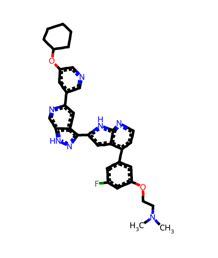 CN(C)CCOc1cc(F)cc(-c2ccnc3[nH]c(-c4n[nH]c5cnc(-c6cncc(OC7CCCCC7)c6)cc45)cc23)c1